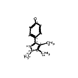 Cc1c(-c2ccc(Cl)cc2)nn(C)c1C